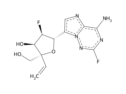 C=C[C@]1(CO)O[C@@H](c2cnc3c(N)nc(F)nn23)[C@H](F)[C@@H]1O